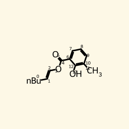 CCCCC=COC(=O)c1cccc(C)c1O